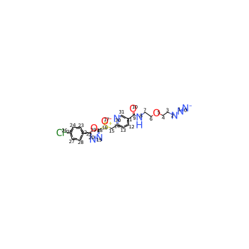 [N-]=[N+]=NCCOCCNC(=O)c1ccc(C[S+]([O-])c2nnc(-c3ccc(Cl)cc3)o2)nc1